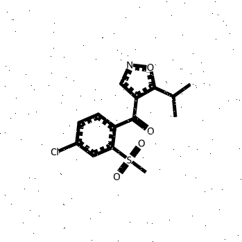 CC(C)c1oncc1C(=O)c1ccc(Cl)cc1S(C)(=O)=O